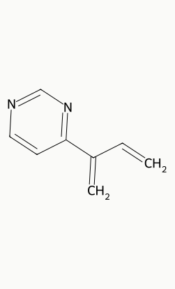 C=CC(=C)c1ccncn1